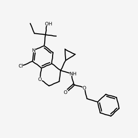 CCC(C)(O)c1cc2c(c(Cl)n1)OCCC2(NC(=O)OCc1ccccc1)C1CC1